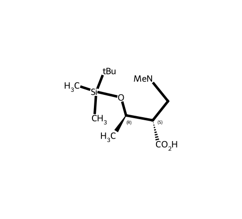 CNC[C@H](C(=O)O)[C@@H](C)O[Si](C)(C)C(C)(C)C